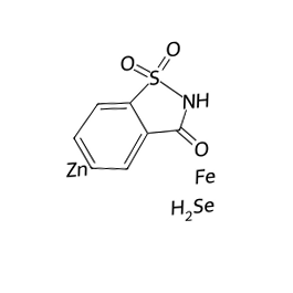 O=C1NS(=O)(=O)c2ccccc21.[Fe].[SeH2].[Zn]